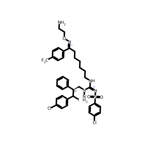 NCCO/N=C(/CCCCCCN/C(=N/S(=O)(=O)c1ccc(Cl)cc1)N(N)C[C@H](c1ccccc1)C(I)c1ccc(Cl)cc1)c1ccc(C(F)(F)F)cc1